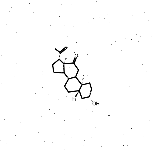 C=C(C)[C@H]1CCC2C3CC[C@H]4C[C@@H](O)CC[C@]4(C)C3CC(=O)[C@@]21C